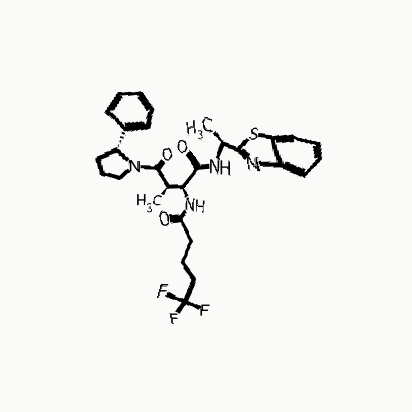 C[C@H](NC(=O)[C@@H](NC(=O)CCCC(F)(F)F)[C@@H](C)C(=O)N1CCC[C@@H]1c1ccccc1)c1nc2ccccc2s1